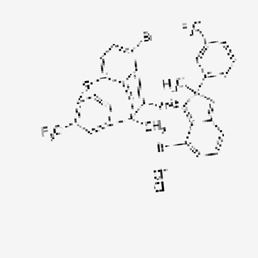 CC1(c2cccc(C(F)(F)F)c2)C=c2cccc(Br)c2=[C]1[Zr+2][C]1=c2c(Br)ccc3c2=CC1(C)c1ccc(c(C(F)(F)F)c1)S3.[Cl-].[Cl-]